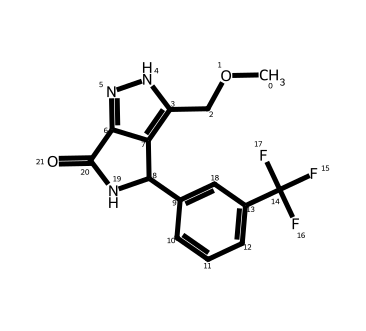 COCc1[nH]nc2c1C(c1cccc(C(F)(F)F)c1)NC2=O